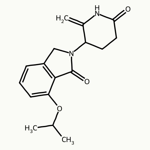 C=C1NC(=O)CCC1N1Cc2cccc(OC(C)C)c2C1=O